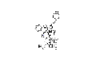 CC(C)(C)CC(/N=C(\NC(=O)OCCN1CCOCC1)c1ccccc1)C(=O)NC1(C#N)CC1